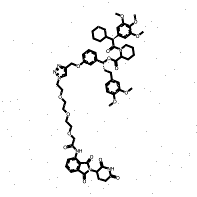 COc1ccc(CC[C@@H](OC(=O)C2CCCCN2C(=O)[C@H](c2cc(OC)c(OC)c(OC)c2)C2CCCCC2)c2cccc(OCc3cn(CCOCCOCCOCC(=O)Nc4cccc5c4C(=O)N(C4CCC(=O)NC4=O)C5=O)nn3)c2)cc1OC